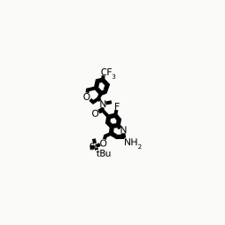 CN(C(=O)c1cc2c(CO[Si](C)(C)C(C)(C)C)cc(N)nc2cc1F)C1COCc2cc(C(F)(F)F)ccc21